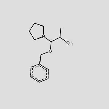 CC(O)C(OCc1ccccc1)N1CCCC1